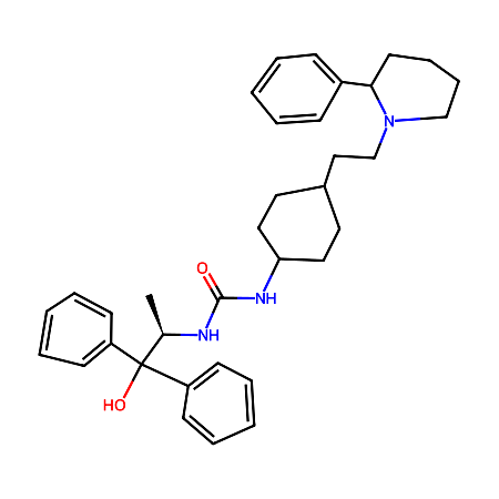 C[C@@H](NC(=O)NC1CCC(CCN2CCCCC2c2ccccc2)CC1)C(O)(c1ccccc1)c1ccccc1